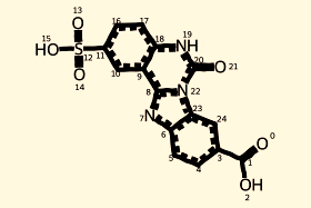 O=C(O)c1ccc2nc3c4cc(S(=O)(=O)O)ccc4[nH]c(=O)n3c2c1